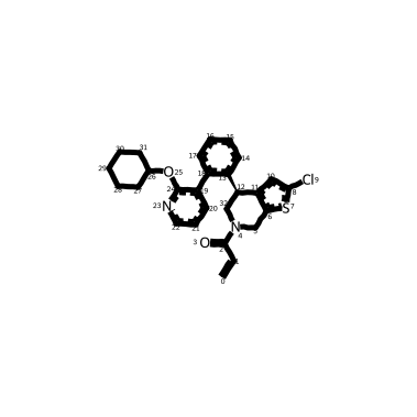 C=CC(=O)N1Cc2sc(Cl)cc2[C@H](c2ccccc2-c2cccnc2OC2CCCCC2)C1